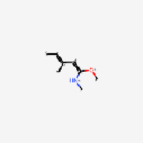 C/C=C(C)/C=C(\NC)OC